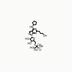 CC(CO)(OCC1O[C@@H](n2ncc3c(NC4CCCC4)nc(CCCO)nc32)[C@H](O)[C@@H]1O)P(=O)(O)O